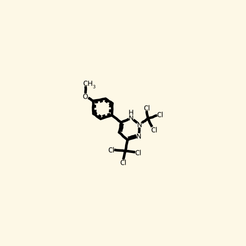 COc1ccc(C2=CC(C(Cl)(Cl)Cl)=NN(C(Cl)(Cl)Cl)N2)cc1